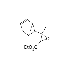 CCOC(=O)C1OC1(C)C1CC2C=CC1C2